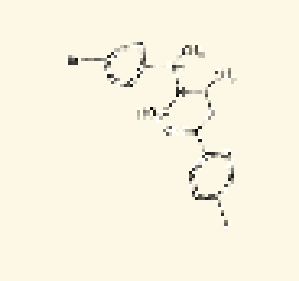 CC(CC(=O)c1ccc(F)cc1)N(C(=O)O)[C@@H](C)c1ccc(Br)cc1